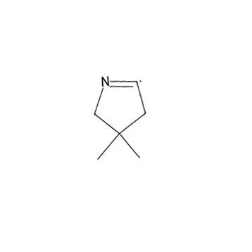 CC1(C)C[C]=NC1